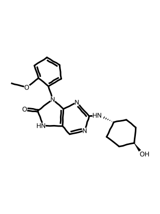 COc1ccccc1-n1c(=O)[nH]c2cnc(N[C@H]3CC[C@H](O)CC3)nc21